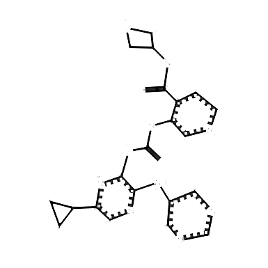 O=C(Nc1cnccc1C(=O)NC1COC1)Oc1nc(C2CC2)cnc1Nc1cncnc1